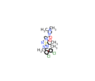 CC(C)C1=C(C(=O)N2[C@H](C#N)CC[C@H]2C(=O)N2CCN(C)[C@H](C)C2)SC2=N[C@@](C)(c3ccc(Cl)cc3)[C@@H](c3ccc(Cl)cc3)N21